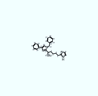 CC(C)(C)C(CCCCc1ncc[nH]1)c1nc(-c2ccccc2)cn1Cc1ccccc1